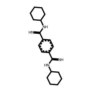 N=C(NC1CCCCC1)c1ccc(C(=N)NC2CCCCC2)cc1